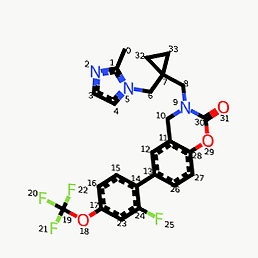 Cc1nccn1CC1(CN2Cc3cc(-c4ccc(OC(F)(F)F)cc4F)ccc3OC2=O)CC1